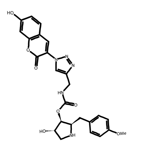 COc1ccc(C[C@H]2NC[C@H](O)[C@H]2OC(=O)NCc2cn(-c3cc4ccc(O)cc4oc3=O)nn2)cc1